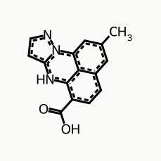 Cc1cc2ccc(C(=O)O)c3[nH]c4ccnn4c(c1)c23